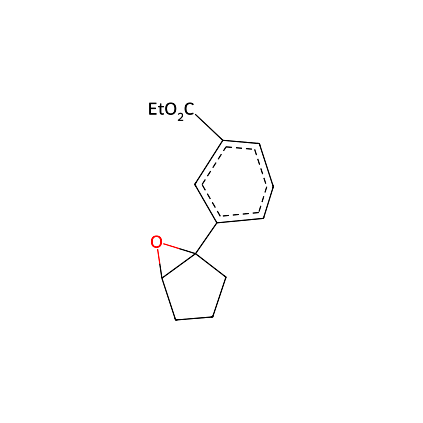 CCOC(=O)c1cccc(C23CCCC2O3)c1